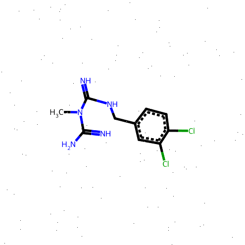 CN(C(=N)N)C(=N)NCc1ccc(Cl)c(Cl)c1